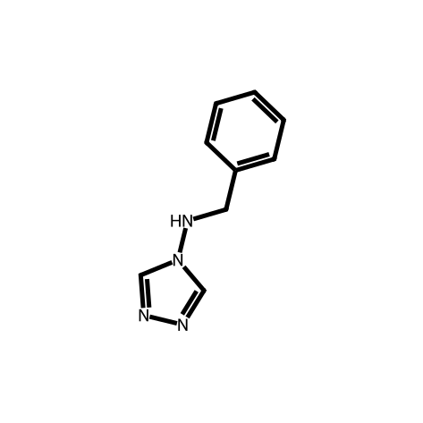 c1ccc(CNn2cnnc2)cc1